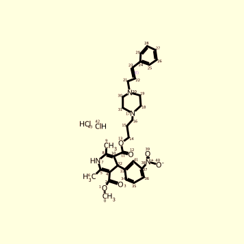 COC(=O)C1=C(C)NC(C)=C(C(=O)OCCCN2CCN(C/C=C/c3ccccc3)CC2)C1c1cccc([N+](=O)[O-])c1.Cl.Cl